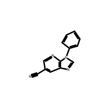 N#Cc1cnc2c(c1)ncn2-c1ccccc1